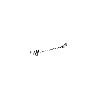 C[Si](Cl)(Cl)CCCCCCCCCCCCCCCCCCN=C=O